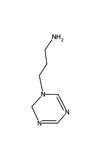 NCCCN1C=NC=NC1